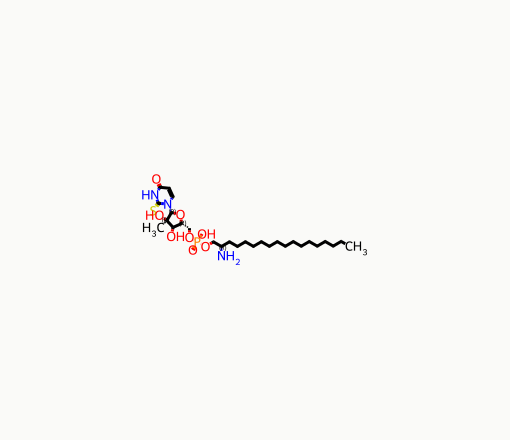 CCCCCCCCCCCCCCCC[C@@H](N)COP(=O)(O)OC[C@H]1O[C@@H](n2ccc(=O)[nH]c2=S)[C@](C)(O)C1O